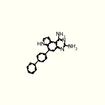 Nc1nc(N)c2c(cc(-c3ccc(-c4ccccc4)cc3)c3[nH]ccc32)n1